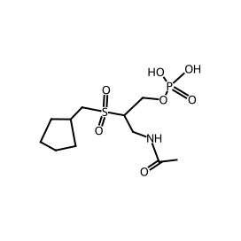 CC(=O)NCC(COP(=O)(O)O)S(=O)(=O)CC1CCCC1